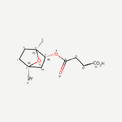 CC(C)[C@]12CC[C@](C)(O1)[C@H](OC(=O)CCC(=O)O)C2